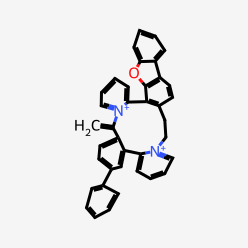 C=C1c2ccc(-c3ccccc3)cc2-c2cccc[n+]2CCc2ccc3c(oc4ccccc43)c2-c2cccc[n+]21